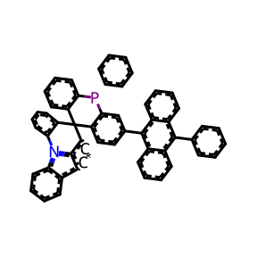 c1ccc(-c2c3ccccc3c(-c3ccc4c(c3)[P@](c3ccccc3)c3ccccc3C43c4ccccc4-n4c5ccccc5c5cccc3c54)c3ccccc23)cc1